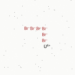 [Br-].[Br-].[Br-].[Br-].[Br-].[Br-].[U+6]